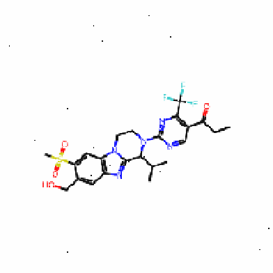 CCC(=O)c1cnc(N2CCn3c(nc4cc(CO)c(S(C)(=O)=O)cc43)C2C(C)C)nc1C(F)(F)F